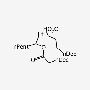 CCCCCCCCCCCC(=O)OC(CC)CCCCC.CCCCCCCCCCCCCC(=O)O